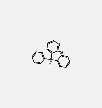 O=P(c1ccccc1)(c1ccccc1)c1cccnc1S